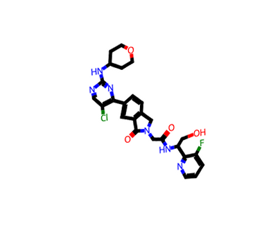 O=C(CN1Cc2ccc(-c3nc(NC4CCOCC4)ncc3Cl)cc2C1=O)NC(CO)c1ncccc1F